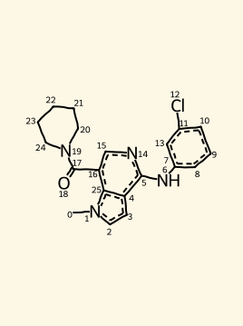 Cn1ccc2c(Nc3cccc(Cl)c3)ncc(C(=O)N3CCCCC3)c21